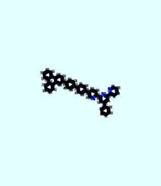 c1ccc(-c2cc(-c3ccccn3)nc(-c3ccc(-c4ccc(-c5ccc(-c6ccc7c8ccccc8c8ccccc8c7c6)cc5)cc4)cn3)c2)cc1